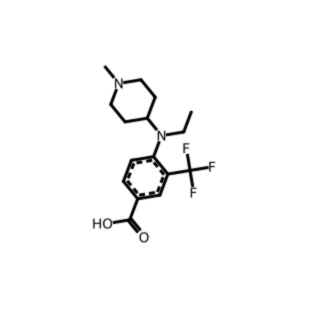 CCN(c1ccc(C(=O)O)cc1C(F)(F)F)C1CCN(C)CC1